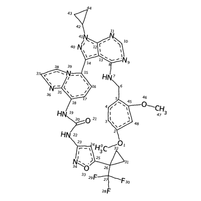 COc1ccc(CNc2ncnc3c2c(-c2ccc(NC(=O)Nc4cc(C5(C(F)(F)F)CC5)on4)c4nccn24)nn3C2CC2)c(OC)c1